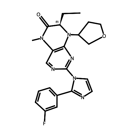 CC[C@@H]1C(=O)N(C)c2cnc(-n3ccnc3-c3cccc(F)c3)nc2N1C1CCOC1